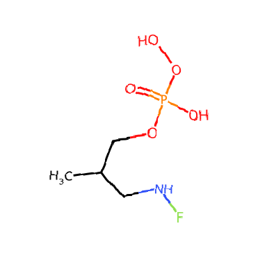 CC(CNF)COP(=O)(O)OO